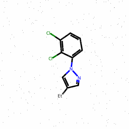 [CH2]Cc1cnn(-c2cccc(Cl)c2Cl)c1